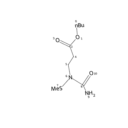 CCCCOC(=O)CCN(SC)C(N)=O